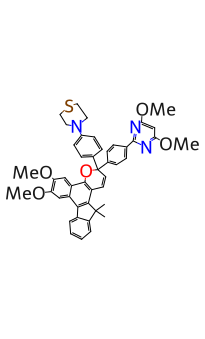 COc1cc(OC)nc(-c2ccc(C3(c4ccc(N5CCSCC5)cc4)C=Cc4c5c(c6cc(OC)c(OC)cc6c4O3)-c3ccccc3C5(C)C)cc2)n1